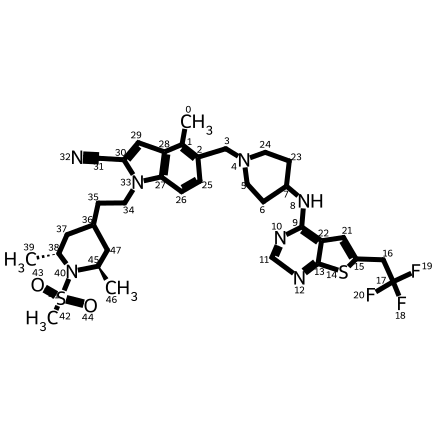 Cc1c(CN2CCC(Nc3ncnc4sc(CC(F)(F)F)cc34)CC2)ccc2c1cc(C#N)n2CCC1C[C@@H](C)N(S(C)(=O)=O)[C@H](C)C1